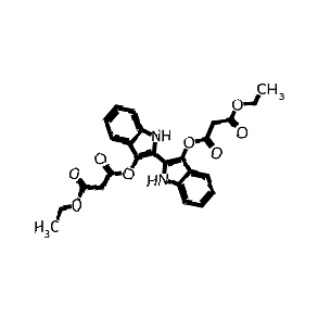 CCOC(=O)CC(=O)Oc1c(-c2[nH]c3ccccc3c2OC(=O)CC(=O)OCC)[nH]c2ccccc12